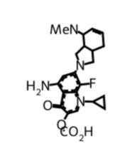 CNC1C=CCC2CN(c3cc(N)c4c(=O)c(OC(=O)O)cn(C5CC5)c4c3F)CC21